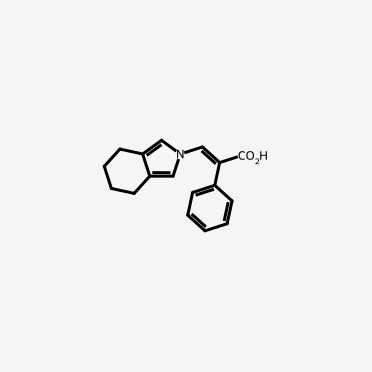 O=C(O)C(=Cn1cc2c(c1)CCCC2)c1ccccc1